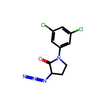 [N-]=[N+]=NC1CCN(c2cc(Cl)cc(Cl)c2)C1=O